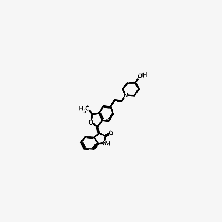 CC1OC(=C2C(=O)Nc3ccccc32)c2ccc(CCN3CCC(O)CC3)cc21